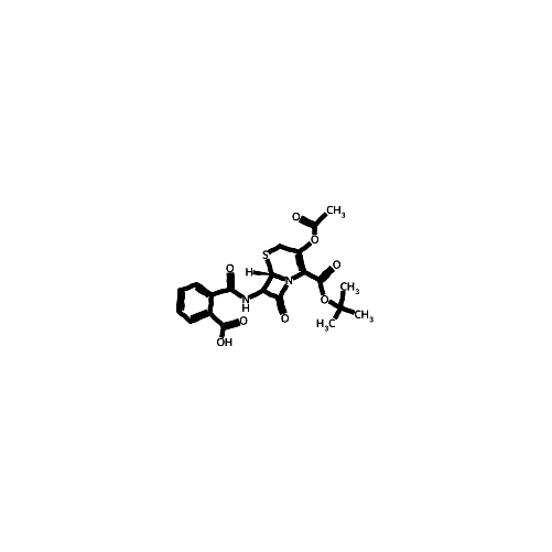 CC(=O)OC1=C(C(=O)OC(C)(C)C)N2C(=O)C(NC(=O)c3ccccc3C(=O)O)[C@@H]2SC1